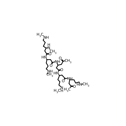 CNCCCC(CC(=O)NC(CCCNC)CC(=O)NC(CC(C)=O)CC(=O)NC(CCCNC)CC(=O)NC(CCCNC)CC(C)=O)NC